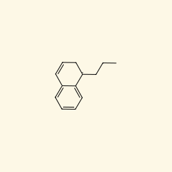 CCC[C]1CC=Cc2ccccc21